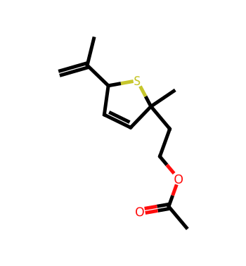 C=C(C)C1C=CC(C)(CCOC(C)=O)S1